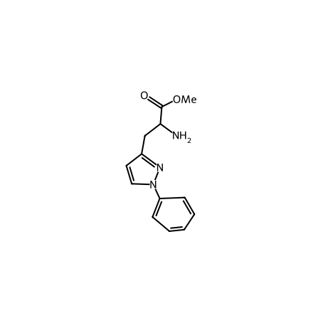 COC(=O)C(N)Cc1ccn(-c2ccccc2)n1